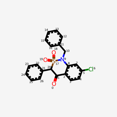 O=C1c2ccc(Cl)cc2N(Cc2ccccc2)S(=O)(=O)C1c1ccccc1